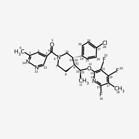 Cc1cc(C(=O)N2CC[C@H]([C@H](C)Oc3nc(F)c(C)c(F)c3F)[C@@H](c3ccc(Cl)cc3)C2)cnn1